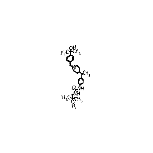 CC(c1ccc(NC(=O)NCC(C)(C)O)cc1)C1CCN(Cc2ccc(C(O)(C(F)(F)F)C(F)(F)F)cc2)CC1